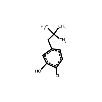 CC(C)(C)Cc1ccc(Cl)c(O)c1